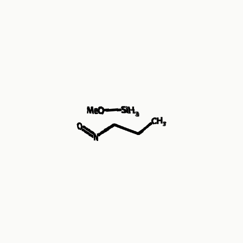 CCCN=O.CO[SiH3]